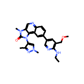 CCNc1ncc(-c2ccc3ncc4c(c3c2)n(-c2cn(C)nc2C)c(=O)n4C)cc1COC